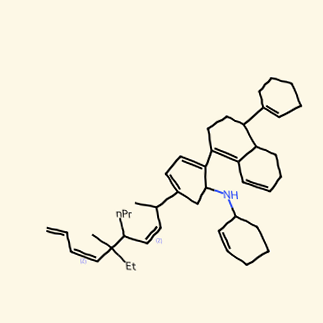 C=C/C=C\C(C)(CC)C(/C=C\C(C)C1=CC=C(C2=C3C=CCCC3C(C3=CCCCC3)CC2)C(NC2C=CCCC2)C1)CCC